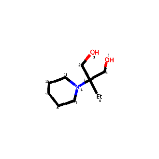 CCC(CO)(CO)N1CCCCC1